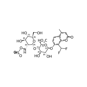 Cc1cc(=O)oc2c(C(F)F)c(O[C@@H]3O[C@H](C(=O)O)[C@@H](O[C@H]4O[C@H](CO)[C@@H](O)[C@H](O)[C@H]4NO[SH](=O)=O)[C@H](O)[C@H]3O)ccc12